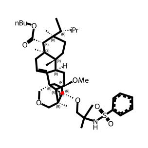 CCCCOC(=O)[C@@H]1[C@@](C)([C@H](C)C(C)C)CC[C@]2(C)[C@H]3CC[C@@H]4[C@@]5(COC[C@]4(C)[C@@H](OCC(C)(C)NS(=O)(=O)c4ccccc4)[C@H](OC)C5)C3=CC[C@@]12C